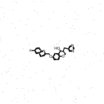 OC1c2cc(OCc3ccc4cc(F)ccc4n3)ccc2OCC1Cc1cncnc1